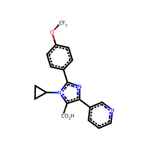 O=C(O)c1c(-c2cccnc2)nc(-c2ccc(OC(F)(F)F)cc2)n1C1CC1